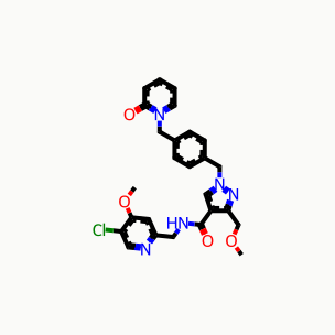 COCc1nn(Cc2ccc(Cn3ccccc3=O)cc2)cc1C(=O)NCc1cc(OC)c(Cl)cn1